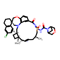 CO[C@H]1/C=C/C[C@H](C)CS(=O)(NC(=O)N2C3COCC2C3)=NC(=O)c2ccc3c(c2)N(C[C@@H]2CC[C@H]21)C[C@@]1(CCCc2cc(Cl)ccc21)CO3